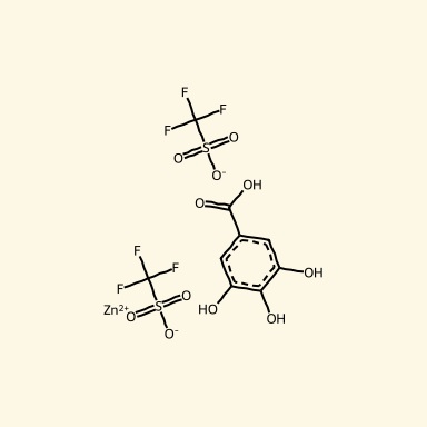 O=C(O)c1cc(O)c(O)c(O)c1.O=S(=O)([O-])C(F)(F)F.O=S(=O)([O-])C(F)(F)F.[Zn+2]